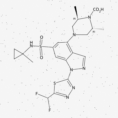 C[C@@H]1CN(c2cc(S(=O)(=O)NC3(C)CC3)cc3c2cnn3-c2nnc(C(F)F)s2)C[C@@H](C)N1C(=O)O